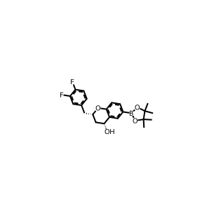 CC1(C)OB(c2ccc3c(c2)[C@H](O)C[C@H](Cc2ccc(F)c(F)c2)O3)OC1(C)C